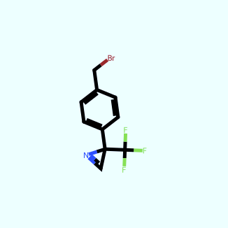 FC(F)(F)C1(c2ccc(CBr)cc2)C=N1